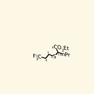 CCCC(SCCC(F)(F)F)C(=O)OCC